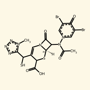 CC(=O)N(C1C(=O)N2C=C(C(S)c3nnnn3C)C(C(=O)O)S[C@H]12)n1cc(Br)c(=O)c(Br)c1